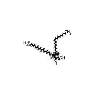 CCCCCCCC/C=C\CCCCCCCC[C@@]1([N])O[C@H](CO)[C@@H](O)[C@H](O)[C@]1(O)CCCCCCCCCCCCCCCCCC